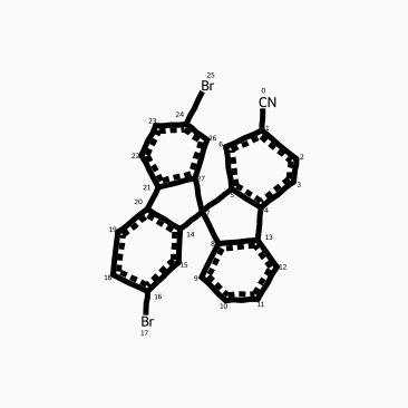 N#Cc1ccc2c(c1)C1(c3ccccc3-2)c2cc(Br)ccc2-c2ccc(Br)cc21